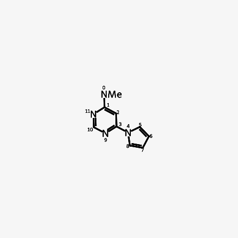 CNc1cc(-n2cccc2)ncn1